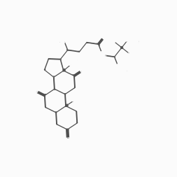 CC(CCC(=O)OC(C(F)(F)F)C(F)(F)S(=O)(=O)O)C1CCC2C3C(=O)CC4CC(=O)CCC4(C)C3CC(=O)C12C